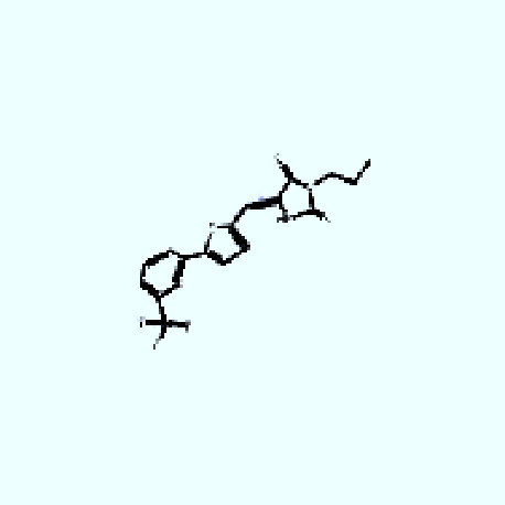 CCCN1C(=S)N/C(=C\c2ccc(-c3cccc(C(F)(F)F)c3)o2)C1=S